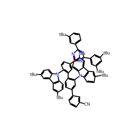 CCCCc1cc(-c2nc(-c3cccc(C(C)(C)C)c3)nc(-c3ccc(-n4c5ccc(C(C)(C)C)cc5c5cc(C(C)(C)C)ccc54)c(-c4ccc(-c5cccc(C#N)c5)cc4-n4c5ccc(C(C)(C)C)cc5c5cc(C(C)(C)C)ccc54)c3)n2)cc(C(C)(C)C)c1